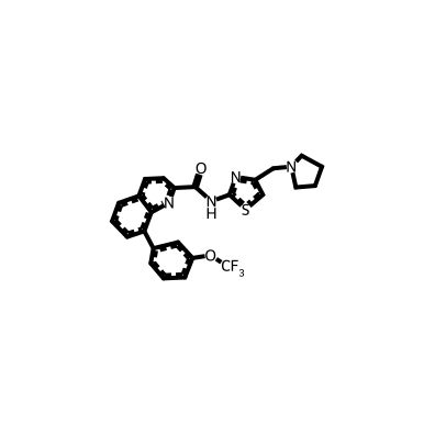 O=C(Nc1nc(CN2CCCC2)cs1)c1ccc2cccc(-c3cccc(OC(F)(F)F)c3)c2n1